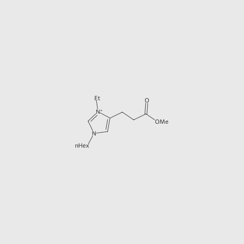 CCCCCCn1cc(CCC(=O)OC)[n+](CC)c1